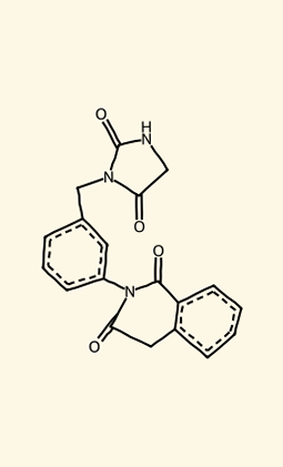 O=C1CNC(=O)N1Cc1cccc(N2C(=O)Cc3ccccc3C2=O)c1